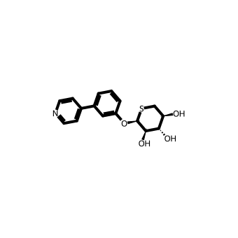 O[C@@H]1[C@@H](O)[C@@H](Oc2cccc(-c3ccncc3)c2)SC[C@H]1O